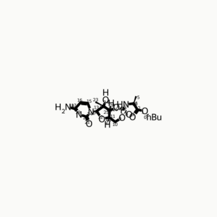 CCCCOC(=O)[C@H](C)NP1(=O)OC[C@H]2O[C@@H](n3ccc(N)nc3=O)[C@](C)(O)[C@@H]2O1